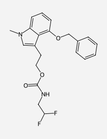 Cn1cc(CCOC(=O)NCC(F)F)c2c(OCc3ccccc3)cccc21